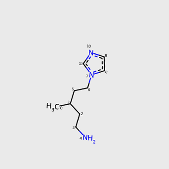 CC(CCN)CCn1ccnc1